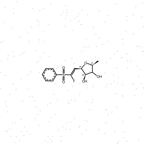 C[C@@H]1O[C@H](C=C(F)S(=O)(=O)c2ccccc2)[C@H](O)C1O